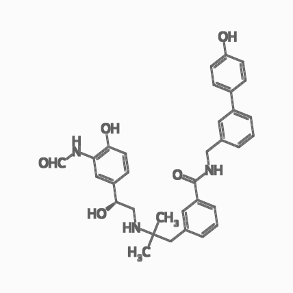 CC(C)(Cc1cccc(C(=O)NCc2cccc(-c3ccc(O)cc3)c2)c1)NC[C@@H](O)c1ccc(O)c(NC=O)c1